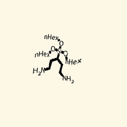 CCCCCCO[Si](OCCCCCC)(OCCCCCC)C(CCN)CCN